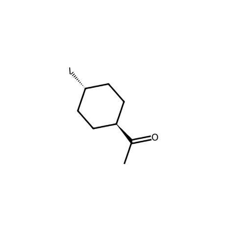 CC(=O)[C@H]1CC[C@H](I)CC1